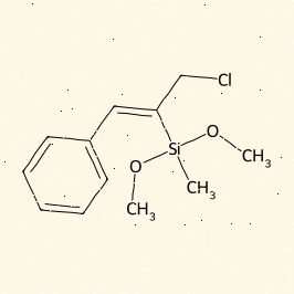 CO[Si](C)(OC)C(=Cc1ccccc1)CCl